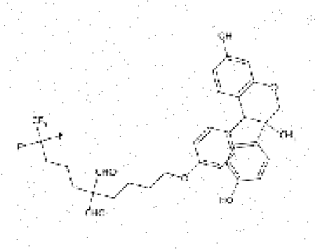 CC1(c2ccc(O)cc2)COc2cc(O)ccc2C1c1ccc(OCCCCC([C]=O)([C]=O)CCCC(F)(F)C(F)(F)F)cc1